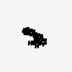 O=C(O)N[C@@H](c1ccccc1)c1cccc(OCc2ccc(C3OCCO3)cc2)c1